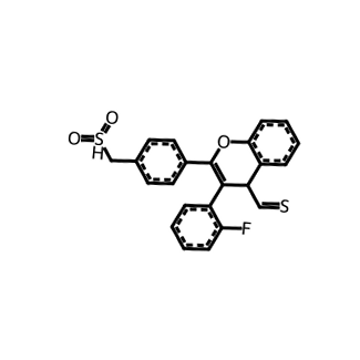 O=[SH](=O)Cc1ccc(C2=C(c3ccccc3F)C(C=S)c3ccccc3O2)cc1